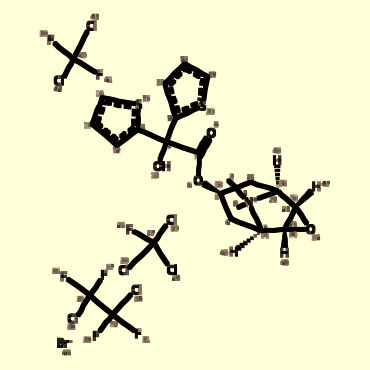 C[N+]1(C)[C@@H]2C[C@@H](OC(=O)C(O)(c3cccs3)c3cccs3)C[C@H]1[C@@H]1O[C@@H]12.FC(Cl)(Cl)Cl.FC(F)(Cl)C(F)(F)Cl.FC(F)(Cl)Cl.[Br-]